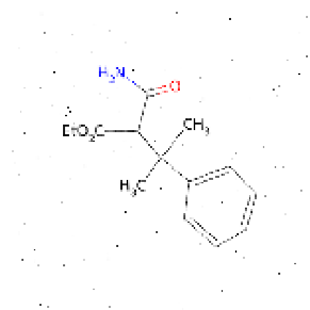 CCOC(=O)C(C(N)=O)C(C)(C)c1ccccc1